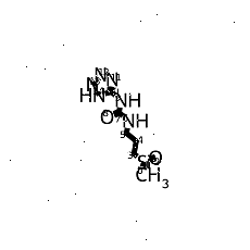 C[Si](=O)CCCNC(=O)Nc1nnn[nH]1